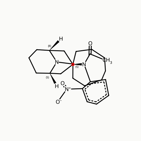 CC(=O)N(c1ccccc1[N+](=O)[O-])[C@@H]1C[C@H]2CCC[C@@H](C1)N2C1CCCCCCC1